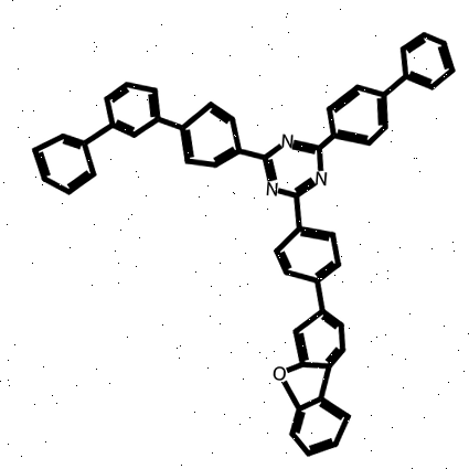 c1ccc(-c2ccc(-c3nc(-c4ccc(-c5cccc(-c6ccccc6)c5)cc4)nc(-c4ccc(-c5ccc6c(c5)oc5ccccc56)cc4)n3)cc2)cc1